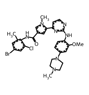 COc1cc(N2CCN(C)CC2)ccc1Nc1nccc(-c2cc(C(=O)Nc3c(C)cc(Br)cc3Cl)cn2C)n1